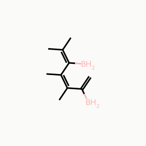 BC(=C)/C(C)=C(/C)C(B)=C(C)C